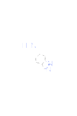 Cc1nn(C)c2cc(C(C)N)ccc12